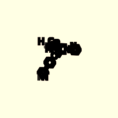 CS(=O)(=O)N[C@H]1CCN(c2ccccn2)CC1COC1CCC(c2ccnnc2)CC1